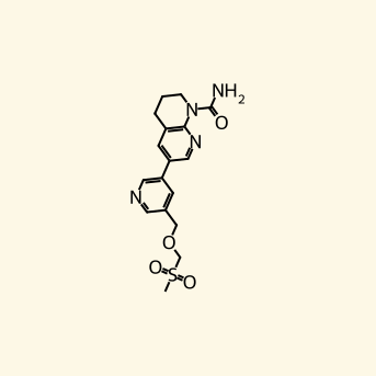 CS(=O)(=O)COCc1cncc(-c2cnc3c(c2)CCCN3C(N)=O)c1